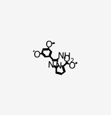 COC(=O)c1cccc2nc(-c3cc(OC)cc(OC)c3)c(N)n12